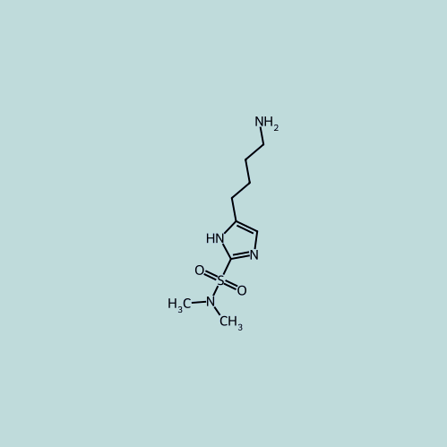 CN(C)S(=O)(=O)c1ncc(CCCCN)[nH]1